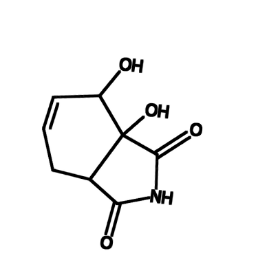 O=C1NC(=O)C2(O)C(O)C=CCC12